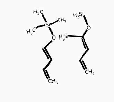 C=CC=C([SiH3])O[SiH3].C=CC=CO[Si](C)(C)C